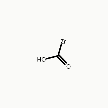 O=[C](O)[Zr]